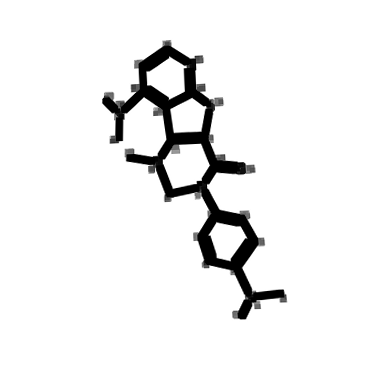 CN(C)c1ccc(N2CN(C)c3c(sc4nccc(N(C)C)c34)C2=O)cc1